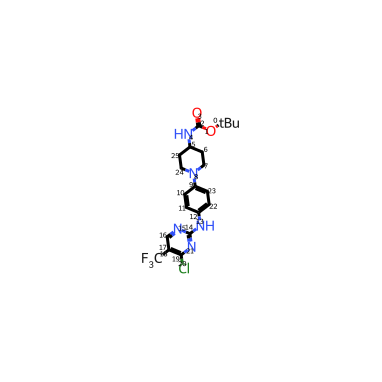 CC(C)(C)OC(=O)NC1CCN(c2ccc(Nc3ncc(C(F)(F)F)c(Cl)n3)cc2)CC1